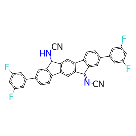 N#C/N=C1\c2cc(-c3cc(F)cc(F)c3)ccc2-c2cc3c(cc21)-c1ccc(-c2cc(F)cc(F)c2)cc1C3NC#N